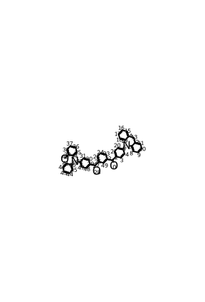 O=C(c1ccc(N2c3ccccc3Cc3ccccc32)cc1)c1cccc(C(=O)c2ccc(N3c4ccccc4Oc4ccccc43)cc2)c1